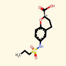 CCCS(=O)(=O)Nc1ccc2c(c1)CC[C@H](C(=O)O)O2